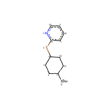 CC(C)(C)C1CCC(Sc2ccccn2)CC1